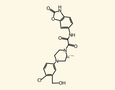 C[C@@H]1CN(c2ccc(Cl)c(CO)c2)CCN1C(=O)C(=O)Nc1ccc2[nH]c(=O)oc2c1